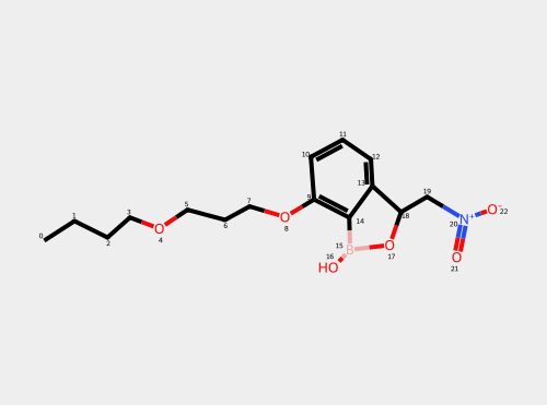 CCCCOCCCOc1cccc2c1B(O)OC2C[N+](=O)[O-]